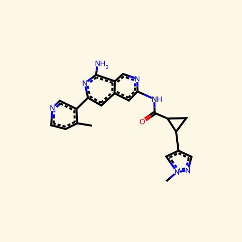 Cc1ccncc1-c1cc2cc(NC(=O)C3CC3c3cnn(C)c3)ncc2c(N)n1